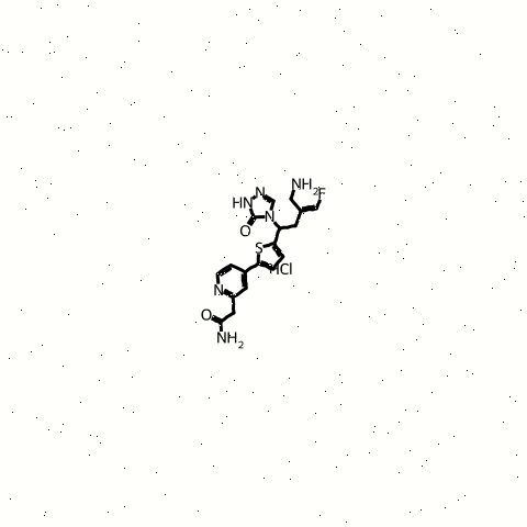 Cl.NC/C(=C\F)CC(c1ccc(-c2ccnc(CC(N)=O)c2)s1)n1cn[nH]c1=O